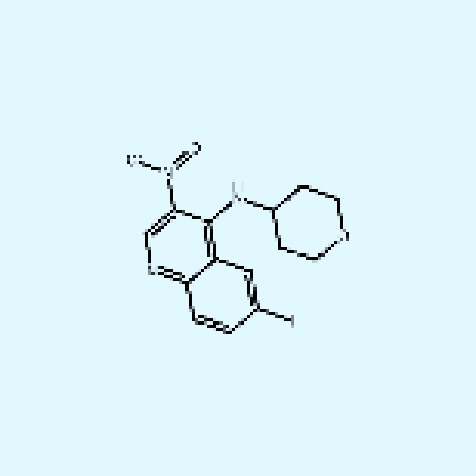 O=[N+]([O-])c1cnc2ccc(I)cc2c1NC1CCOCC1